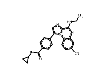 N#Cc1ccc2c(c1)nc(NCC(F)(F)F)c1ncc(-c3ccc(C(=O)NC4CC4)cc3)n12